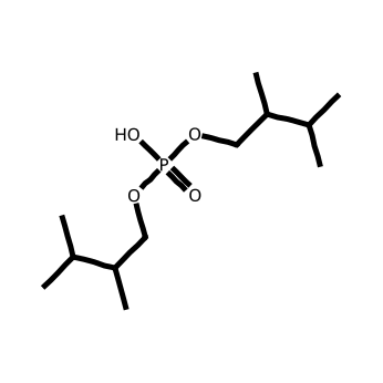 CC(C)C(C)COP(=O)(O)OCC(C)C(C)C